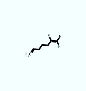 C=CCCCC(F)=C(F)F